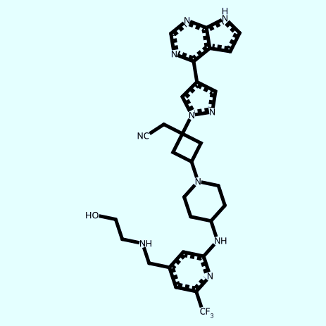 N#CCC1(n2cc(-c3ncnc4[nH]ccc34)cn2)CC(N2CCC(Nc3cc(CNCCO)cc(C(F)(F)F)n3)CC2)C1